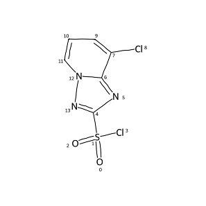 O=S(=O)(Cl)c1nc2c(Cl)cccn2n1